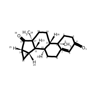 C[C@]12CCC(=O)C=C1CC[C@H]1[C@@H]3[C@@H]4C[C@@H]4C(=O)[C@@]3(C)CC[C@@H]12